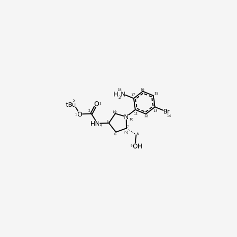 CC(C)(C)OC(=O)NC1C[C@@H](CO)N(c2cc(Br)ccc2N)C1